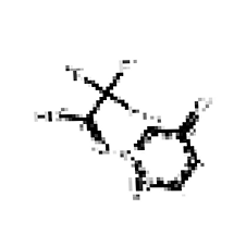 O=C(O)C(F)(F)F.O=c1cc[nH]nc1